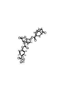 O=C1C2CC3CC1CC(C(=O)OC1C4CC5C1OC(=O)C5C4C(=O)Oc1ccc(S(=O)(=O)O)cc1)(C3)C2